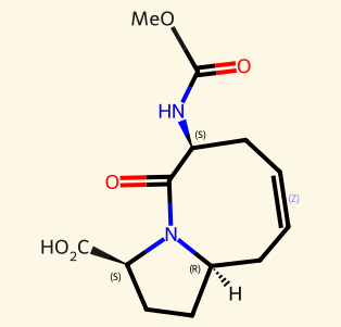 COC(=O)N[C@H]1C/C=C\C[C@H]2CC[C@@H](C(=O)O)N2C1=O